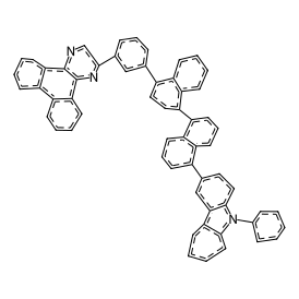 c1ccc(-n2c3ccccc3c3cc(-c4cccc5c(-c6ccc(-c7cccc(-c8cnc9c%10ccccc%10c%10ccccc%10c9n8)c7)c7ccccc67)cccc45)ccc32)cc1